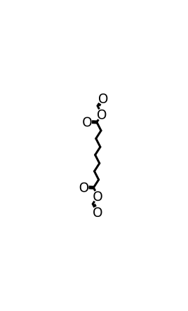 O=COC(=O)CCCCCCCC(=O)OC=O